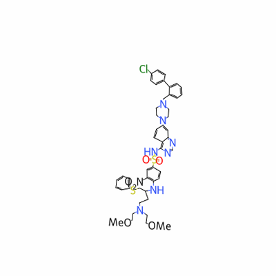 COCCN(CCOC)CCC(CSc1ccccc1)Nc1ccc(S(=O)(=O)Nc2ncnc3cc(N4CCN(Cc5ccccc5-c5ccc(Cl)cc5)CC4)ccc23)cc1[N+](=O)[O-]